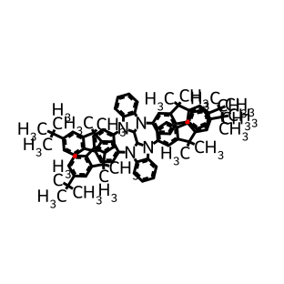 CC(C)(C)c1ccc2c(c1)C(C)(C)c1cc(N3c4ccccc4N(c4ccc5c(c4)C(C)(C)c4cc(C(C)(C)C)ccc4-5)C3C3N(c4ccc5c(c4)C(C)(C)c4cc(C(C)(C)C)ccc4-5)c4ccccc4N3c3ccc4c(c3)C(C)(C)c3cc(C(C)(C)C)ccc3-4)ccc1-2